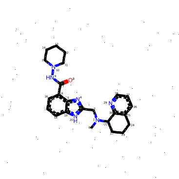 CN(Cc1nc2c(C(=O)NN3CCCCC3)cccc2[nH]1)C1CCCc2cccnc21